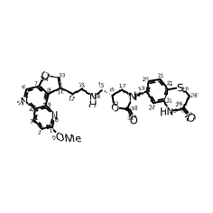 COc1ccc2ncc3c(c2n1)C(CCNC[C@@H]1CN(c2ccc4c(c2)NC(=O)CS4)C(=O)O1)CO3